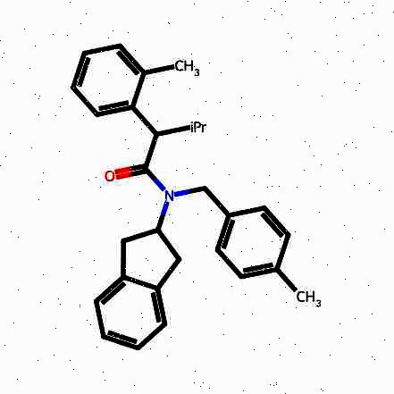 Cc1ccc(CN(C(=O)C(c2ccccc2C)C(C)C)C2Cc3ccccc3C2)cc1